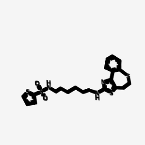 O=S(=O)(NCCCCCCNc1nc2c(s1)CCSc1ccccc1-2)c1cccs1